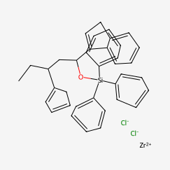 CCC(CC(O[Si](c1ccccc1)(c1ccccc1)c1ccccc1)C1=CCc2ccccc21)C1=CC=CC1.[Cl-].[Cl-].[Zr+2]